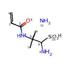 C=CC(=O)NC(C)(C)C(N)S(=O)(=O)O.N